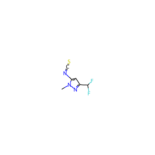 Cn1nc(C(F)F)cc1N=C=S